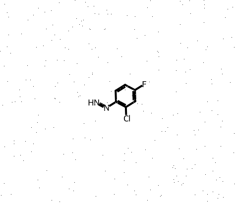 N=Nc1ccc(F)cc1Cl